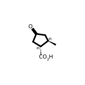 C[C@@H]1CC(=O)C[C@H]1C(=O)O